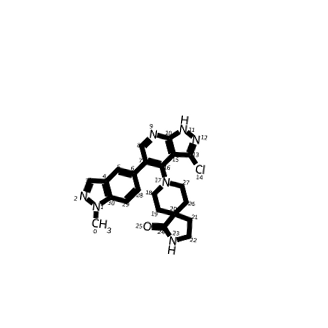 Cn1ncc2cc(-c3cnc4[nH]nc(Cl)c4c3N3CCC4(CCNC4=O)CC3)ccc21